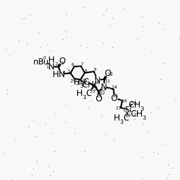 CCCCNC(=O)NC1CCC(CN2C(=O)N(COCC[Si](C)(C)C)C(=O)C2(C)C)C(C)C1